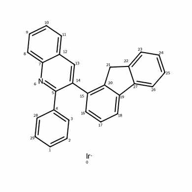 [Ir].c1ccc(-c2nc3ccccc3cc2-c2cccc3c2Cc2ccccc2-3)cc1